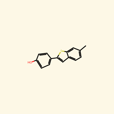 Cc1ccc2[c]c(-c3ccc(O)cc3)sc2c1